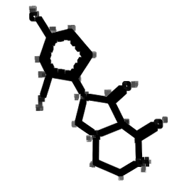 O=C1[SH]CCN2CN(c3ccc(Cl)cc3F)C(=O)C12